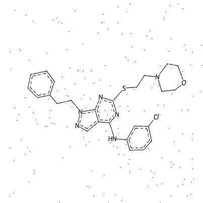 Clc1cccc(Nc2nc(SCCN3CCOCC3)nc3c2cnn3CCc2ccccc2)c1